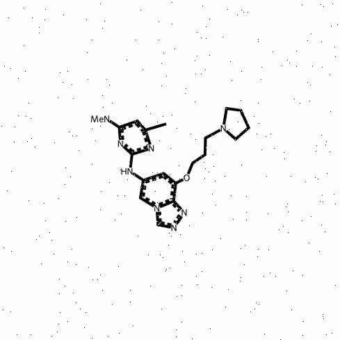 CNc1cc(C)nc(Nc2cc(OCCCN3CCCC3)c3nncn3c2)n1